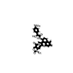 CCN1C(=O)OCc2c1cc1n(c2=O)Cc2c-1nc1cc(F)c(C)c3c1c2C(NC(=O)C(O)c1ccc(NC)cc1)CC3